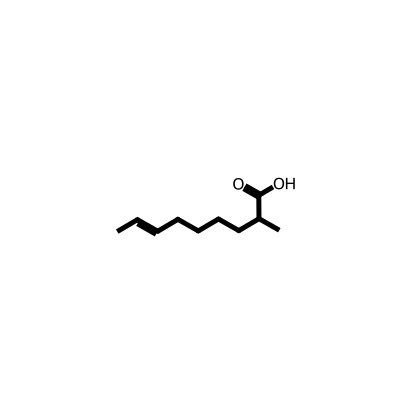 CC=CCCCCC(C)C(=O)O